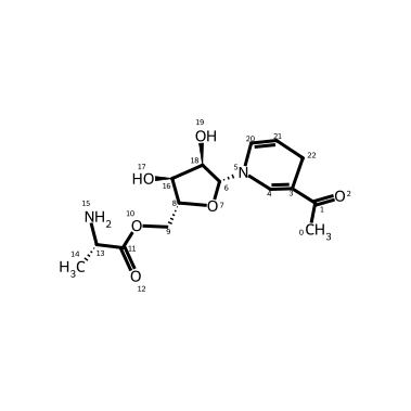 CC(=O)C1=CN([C@@H]2O[C@H](COC(=O)[C@H](C)N)[C@@H](O)[C@H]2O)C=CC1